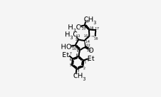 CCc1cc(C)cc(CC)c1C1=C(O)[C@@H](C)[C@@H]([C@H]2CCC2=C(C)C)C1=O